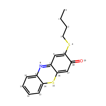 CCCCSc1cc2nc3ccccc3sc-2cc1=O